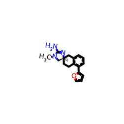 CN1C[C@@]2(CCc3c(cccc3-c3ccco3)C2)N=C1N